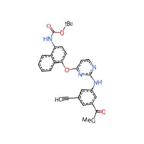 C#Cc1cc(Nc2nccc(Oc3ccc(NC(=O)OC(C)(C)C)c4ccccc34)n2)cc(C(=O)OC)c1